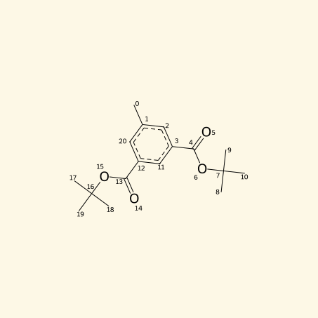 Cc1cc(C(=O)OC(C)(C)C)cc(C(=O)OC(C)(C)C)c1